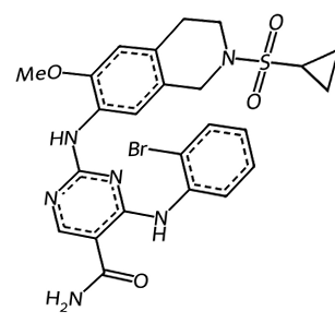 COc1cc2c(cc1Nc1ncc(C(N)=O)c(Nc3ccccc3Br)n1)CN(S(=O)(=O)C1CC1)CC2